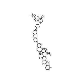 Cc1cccc(NC(=O)c2ccc(-c3nn4c(c3C(N)=O)Nc3ccc(N5CCN(CC6CCN(c7ccc(N8CCC(=O)N(CC(=O)OC(C)(C)C)C8=O)cc7)CC6)CC5)cc3CC4)c(F)c2C)n1